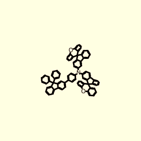 c1ccc(C2(c3ccccc3)c3ccccc3-c3ccc(-c4ccc(N(c5ccc6c(c5)-c5ccccc5C65c6ccccc6Oc6ccccc65)c5ccc6c(c5)C5(c7ccccc7Oc7ccccc75)c5ccccc5-6)cc4)cc32)cc1